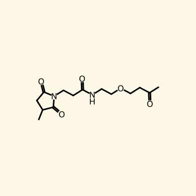 CC(=O)CCOCCNC(=O)CCN1C(=O)CC(C)C1=O